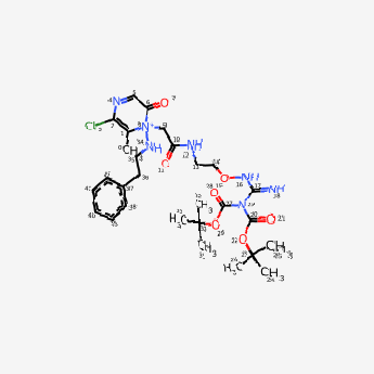 CC1=C(Cl)N=CC(=O)[N+]1(CC(=O)NCCONC(=N)N(C(=O)OC(C)(C)C)C(=O)OC(C)(C)C)NCCc1ccccc1